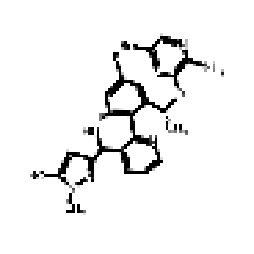 C[C@@H](Oc1nc(Br)cnc1N)c1cc(F)cc(F)c1-c1ncccc1C(O)c1cc(C#N)n(C)n1